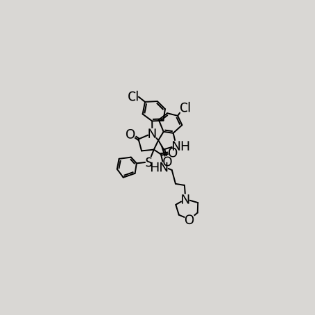 O=C1CC(Sc2ccccc2)(C(=O)NCCCN2CCOCC2)C2(C(=O)Nc3cc(Cl)ccc32)N1c1cccc(Cl)c1